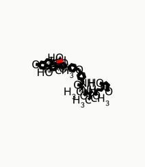 CC(C)C(NC(=O)CCN1C(=O)C=CC1=O)C(=O)N[C@@H](C)C(=O)Nc1ccc(Oc2ccc([C@@H]3O[C@@H]4C[C@H]5[C@@H]6CCC7=CC(=O)C=C[C@]7(C)[C@H]6[C@@H](O)C[C@]5(C)[C@]4(C(=O)CO)O3)cc2)cc1